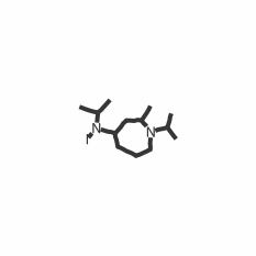 CC(C)N(I)C1CCCN(C(C)C)C(C)C1